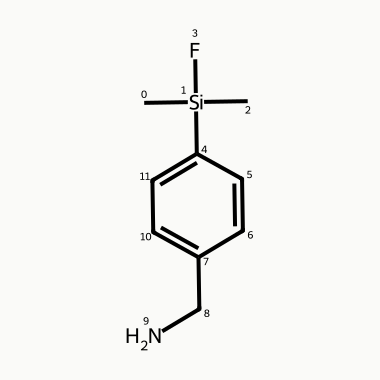 C[Si](C)(F)c1ccc(CN)cc1